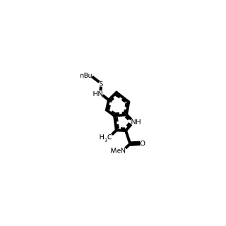 CCCCSNc1ccc2[nH]c(C(=O)NC)c(C)c2c1